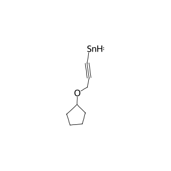 [SnH][C]#CCOC1CCCC1